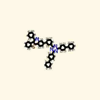 c1ccc(-c2ccc(-c3nc(-c4ccc(-c5ccccc5)cc4)nc(-c4cccc(-c5ccc6c(c5)nc(-c5ccccc5)c5c7ccccc7sc65)c4)n3)cc2)cc1